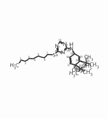 CCCCCCCCSc1ncnc(NC2C=CC(O)(C(C)(C)C)C(C(C)(C)C)=C2)n1